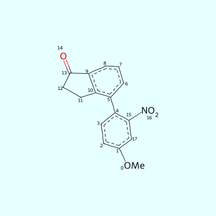 COc1ccc(-c2cccc3c2CCC3=O)c([N+](=O)[O-])c1